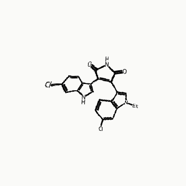 CCn1cc(C2=C(c3c[nH]c4cc(Cl)ccc34)C(=O)NC2=O)c2ccc(Cl)cc21